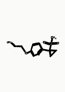 CC(C)CCOc1ccc(C2(S(C)(=O)=O)CC2)cc1